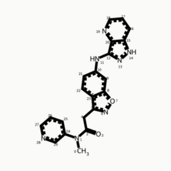 CN(C(=O)Cc1noc2cc(Nc3n[nH]c4cccnc34)ccc12)c1cccnc1